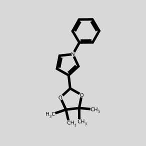 CC1(C)OC(c2ccn(-c3ccccc3)c2)OC1(C)C